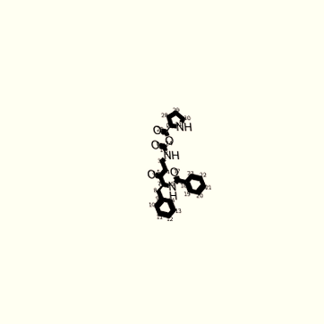 O=C(NCCC(=O)[C@H](Cc1ccccc1)NC(=O)c1ccccc1)OC(=O)[C@@H]1CCCN1